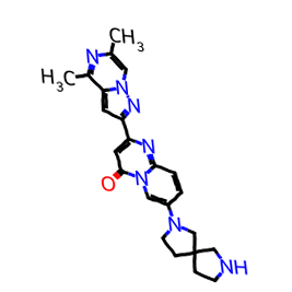 Cc1cn2nc(-c3cc(=O)n4cc(N5CCC6(CCNC6)C5)ccc4n3)cc2c(C)n1